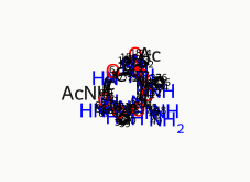 CC(=O)N[C@H]1CCNC(=O)CC[C@@H](C(=O)N2CCC[C@H]2C(=O)N2CCC[C@H]2C(C)=O)NC(=O)[C@H](Cc2c[nH]c3ccccc23)NC(=O)[C@H](CCCNC(=N)N)NC(=O)[C@@H](Cc2ccccc2)NC(=O)[C@H](Cc2c[nH]cn2)NC1=O